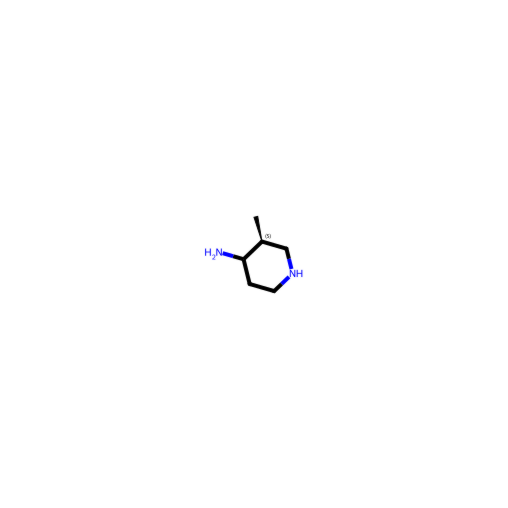 C[C@H]1CNCCC1N